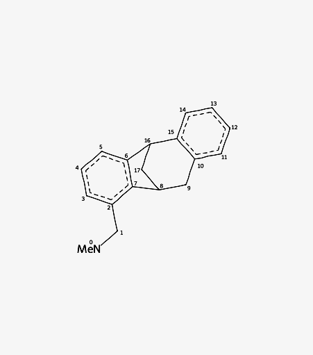 CNCc1cccc2c1C1Cc3ccccc3C2C1